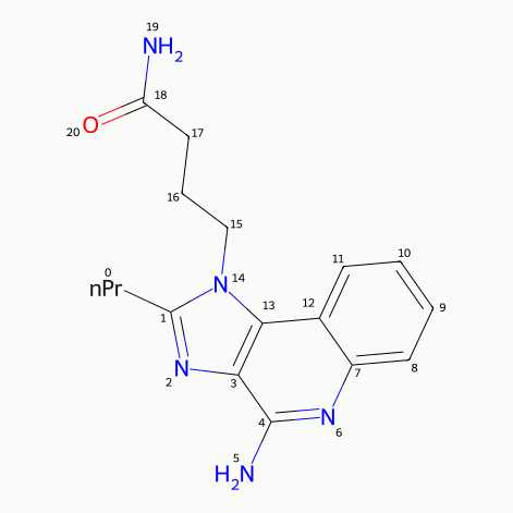 CCCc1nc2c(N)nc3ccccc3c2n1CCCC(N)=O